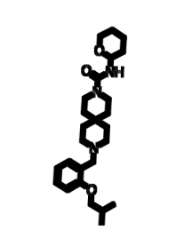 CC(C)COc1ccccc1CN1CCC2(CC1)CCN(C(=O)NC1CCCCO1)CC2